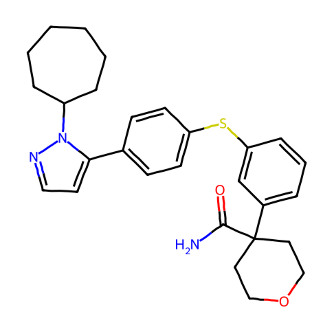 NC(=O)C1(c2cccc(Sc3ccc(-c4ccnn4C4CCCCCC4)cc3)c2)CCOCC1